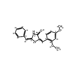 COc1ccc(/C=C2/S/C(=N/c3ccccc3)NC2=O)c(OC)c1